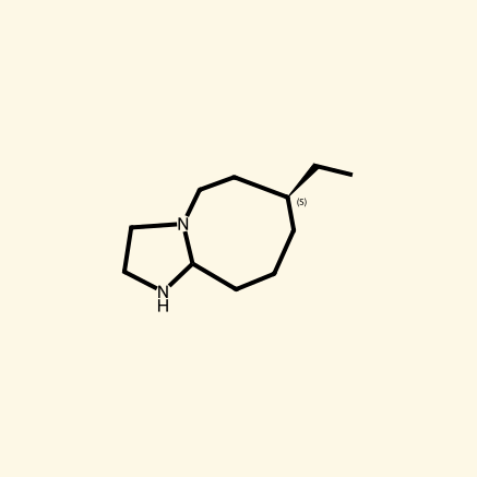 CC[C@H]1CCCC2NCCN2CC1